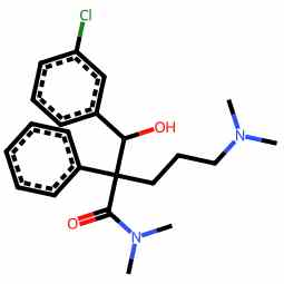 CN(C)CCCC(C(=O)N(C)C)(c1ccccc1)C(O)c1cccc(Cl)c1